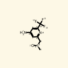 C[S+]([O-])Cc1cc(N)cc(C(F)(F)F)n1